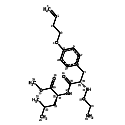 C=CCCOc1ccc(C[C@H](BOCN)C(=O)N[C@@H](CC(C)C)C(=O)OC)cc1